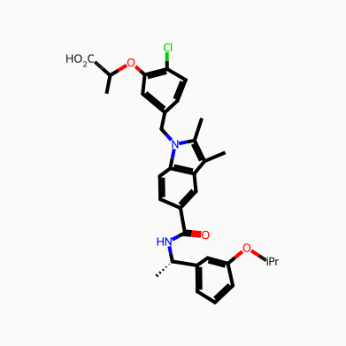 Cc1c(C)n(Cc2ccc(Cl)c(OC(C)C(=O)O)c2)c2ccc(C(=O)N[C@@H](C)c3cccc(OC(C)C)c3)cc12